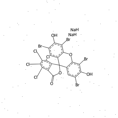 O=C1OC2(c3cc(Br)c(O)c(Br)c3Oc3c2cc(Br)c(O)c3Br)c2c(Cl)c(Cl)c(Cl)c(Cl)c21.[NaH].[NaH]